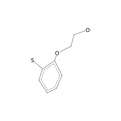 [O]CCOc1ccccc1[S]